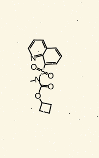 CN(C(=O)OC1CCC1)S(=O)(=O)c1cccc2cccnc12